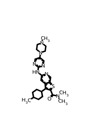 CC1CCC(c2c(C(=O)N(C)C)sc3cnc(Nc4ncc(N5CCN(C)CC5)cn4)cc23)CC1